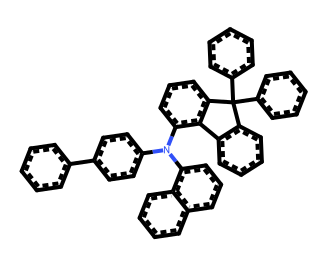 c1ccc(-c2ccc(N(c3cccc4c3-c3ccccc3C4(c3ccccc3)c3ccccc3)c3cccc4ccccc34)cc2)cc1